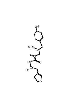 CC[C@@H](CC1=CSCC1)NC(=O)NC[C@@H](N)CC1CCC(O)CC1